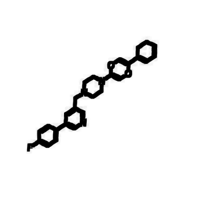 Fc1ccc(-c2cncc(CN3CCN(C4=COC(C5=CC=CCC5)=CO4)CC3)c2)cc1